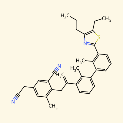 C=C(Cc1c(C)cc(CC#N)cc1C#N)c1cccc(-c2cccc(-c3nc(CCC)c(CC)s3)c2C)c1C